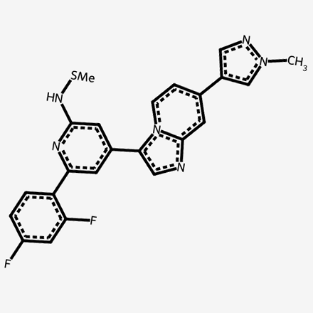 CSNc1cc(-c2cnc3cc(-c4cnn(C)c4)ccn23)cc(-c2ccc(F)cc2F)n1